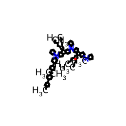 CCCCCCC1(CCCCCC)c2cc(N(C)c3ccccc3)ccc2-c2ccc(N(c3ccccc3)c3ccc4c(c3)C(CCCCCC)(CCCCCC)c3cc(N(c5ccccc5)c5ccc(-c6ccc(C(C)(C)c7ccc(-c8ccc(C)cc8)cc7)cc6)cc5)ccc3-4)cc21